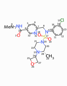 CNNC(=O)c1ccc(CN(c2cccc(Cl)c2)S(=O)(=O)N2CCN(C3COC3)[C@@H](C)C2)nc1